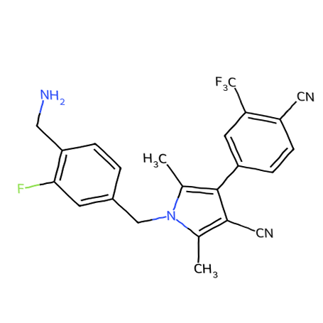 Cc1c(C#N)c(-c2ccc(C#N)c(C(F)(F)F)c2)c(C)n1Cc1ccc(CN)c(F)c1